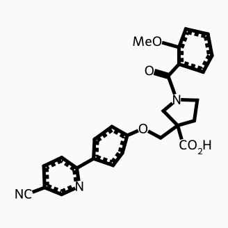 COc1ccccc1C(=O)N1CCC(COc2ccc(-c3ccc(C#N)cn3)cc2)(C(=O)O)C1